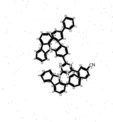 N#Cc1cccc(-c2nc(-c3ccc(-c4cccc(-c5ccccc5)c4)c(-n4c5ccccc5c5ccccc54)c3)nc(-n3c4ccccc4c4cccc(-c5ccccc5)c43)n2)c1